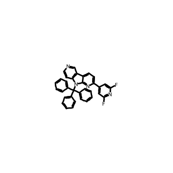 Fc1cc(-c2ccc3c4cnccc4n(C(c4ccccc4)(c4ccccc4)c4ccccc4)c3n2)cc(F)n1